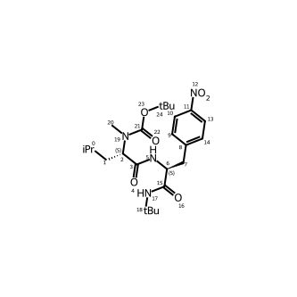 CC(C)C[C@@H](C(=O)N[C@@H](Cc1ccc([N+](=O)[O-])cc1)C(=O)NC(C)(C)C)N(C)C(=O)OC(C)(C)C